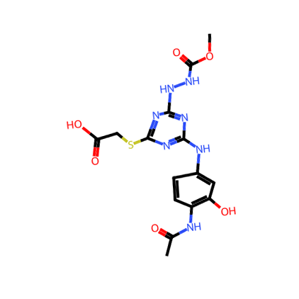 COC(=O)NNc1nc(Nc2ccc(NC(C)=O)c(O)c2)nc(SCC(=O)O)n1